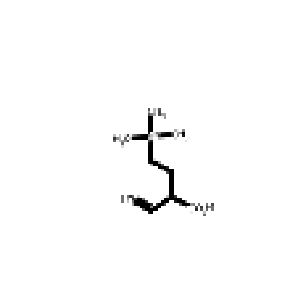 C[N+](C)(C)CCC(C=N)C(=O)O